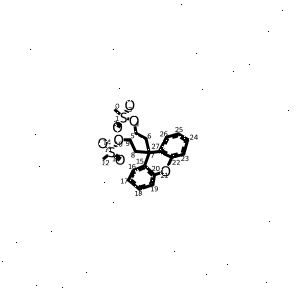 CS(=O)(=O)OCCC1(CCOS(C)(=O)=O)c2ccccc2Oc2ccccc21